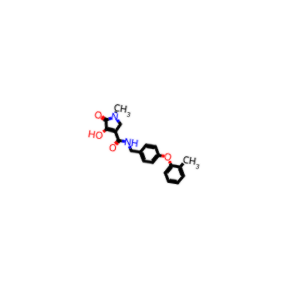 Cc1ccccc1Oc1ccc(CNC(=O)C2=C(O)C(=O)N(C)C2)cc1